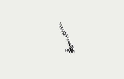 CCCCCCCCc1ccc(CCCCCCCCSCC(COP(=O)(O)O)OC)cc1